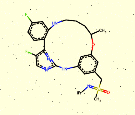 CC(C)N=S(C)(=O)Cc1cc2cc(c1)OC(C)CCCNc1cc(F)ccc1-c1nc(ncc1F)N2